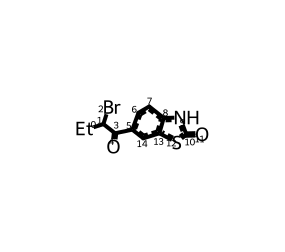 CCC(Br)C(=O)c1ccc2[nH]c(=O)sc2c1